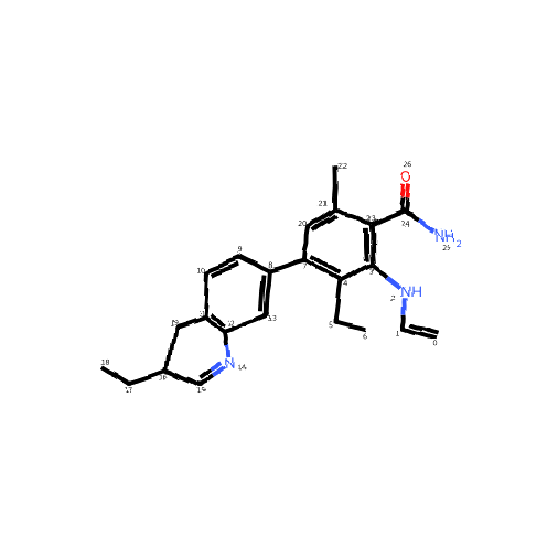 C=CNc1c(CC)c(-c2ccc3c(c2)N=CC(CC)C3)cc(C)c1C(N)=O